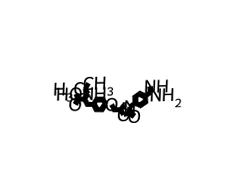 CC(C)NC(Cc1ccc(OCC2CN(c3ccc(C(=N)N)cc3)C(=O)O2)cc1)C(=O)O